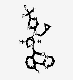 O=C(c1cccc(F)c1-c1ncccn1)N1C[C@@H]2C[C@@H](N(CC3CC3)c3cnc(C(F)(F)F)cn3)[C@@H]1C2